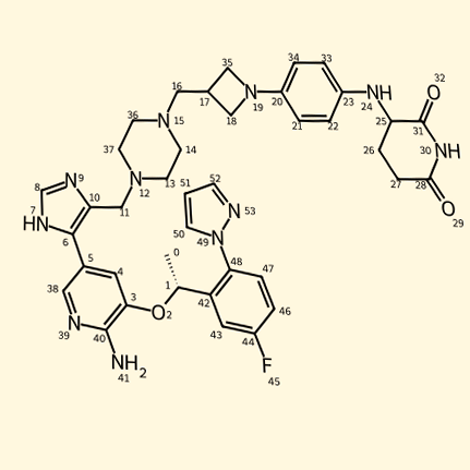 C[C@@H](Oc1cc(-c2[nH]cnc2CN2CCN(CC3CN(c4ccc(NC5CCC(=O)NC5=O)cc4)C3)CC2)cnc1N)c1cc(F)ccc1-n1cccn1